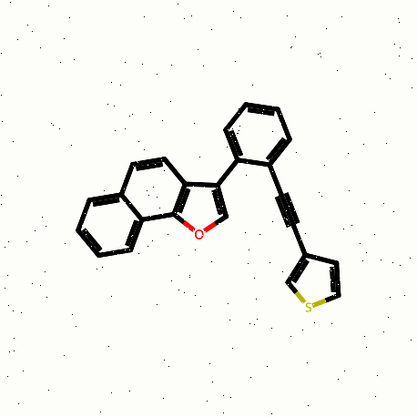 C(#Cc1ccccc1-c1coc2c1ccc1ccccc12)c1ccsc1